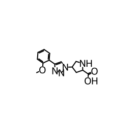 COc1ccccc1-c1cn(C2CNC(C(=O)O)C2)nn1